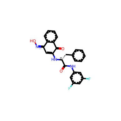 O=C1C(N[C@H](Cc2ccccc2)C(=O)Nc2cc(F)cc(F)c2)=C/C(=N/O)c2ccccc21